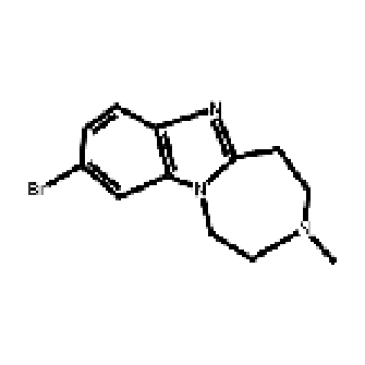 CN1CCc2nc3ccc(Br)cc3n2CC1